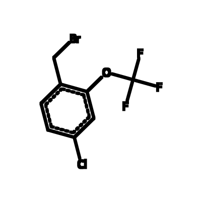 FC(F)(F)Oc1cc(Cl)ccc1CBr